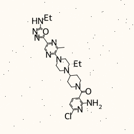 CCNc1nnc(-c2cnc(N3CCN(C4CCN(C(=O)c5ccc(Cl)nc5N)CC4)[C@@H](CC)C3)c(C)n2)o1